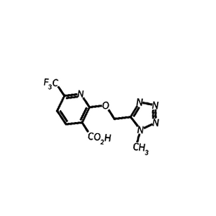 Cn1nnnc1COc1nc(C(F)(F)F)ccc1C(=O)O